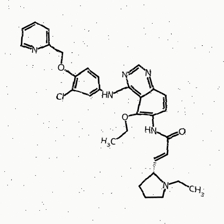 CCOc1c(NC(=O)/C=C/[C@H]2CCCN2CC)ccc2ncnc(Nc3ccc(OCc4ccccn4)c(Cl)c3)c12